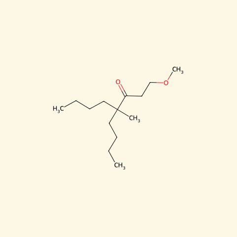 CCCCC(C)(CCCC)C(=O)CCOC